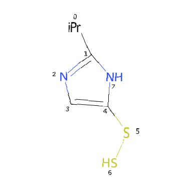 CC(C)c1ncc(SS)[nH]1